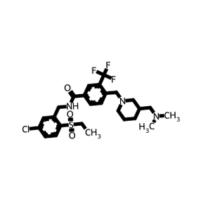 CCS(=O)(=O)c1ccc(Cl)cc1CNC(=O)c1ccc(CN2CCCC(CN(C)C)C2)c(C(F)(F)F)c1